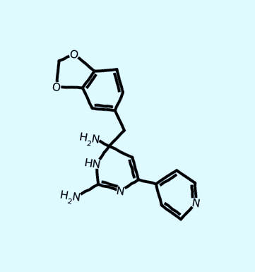 NC1=NC(c2ccncc2)=CC(N)(Cc2ccc3c(c2)OCO3)N1